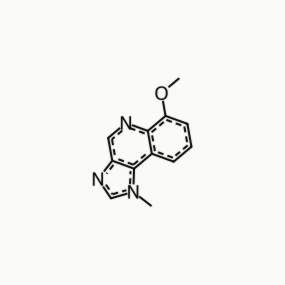 COc1cccc2c1ncc1ncn(C)c12